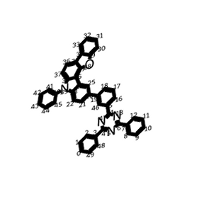 c1ccc(-c2nc(-c3ccccc3)nc(-c3cccc(-c4ccc5c(c4)c4c6oc7ccccc7c6ccc4n5-c4ccccc4)c3)n2)cc1